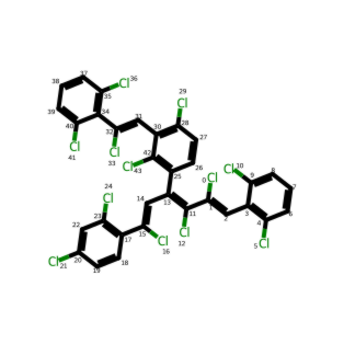 ClC(=Cc1c(Cl)cccc1Cl)C(Cl)=C(C=C(Cl)c1ccc(Cl)cc1Cl)c1ccc(Cl)c(C=C(Cl)c2c(Cl)cccc2Cl)c1Cl